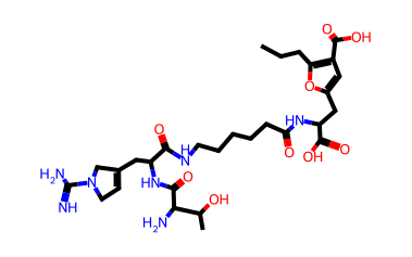 CCCc1oc(CC(NC(=O)CCCCCNC(=O)C(CC2=CCN(C(=N)N)C2)NC(=O)C(N)C(C)O)C(=O)O)cc1C(=O)O